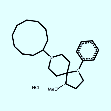 CO[C@H]1CCN(c2ccccc2)C12CCN(C1CCCCCCCCC1)CC2.Cl